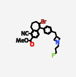 COC(=O)c1ccc2c(c1C#N)CCCC(Br)=C2c1ccc(CC2CN(CCCF)C2)cc1